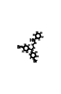 Brc1ccc(C(CCCNc2ccccc2)c2ccc(Br)cc2)cc1